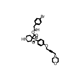 O=C(ONCc1ccc(Br)cc1)C1(S(=O)(=O)c2ccc(OCC#CCN3CCOCC3)cc2)CCNCC1